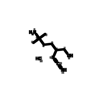 CC(C)(N)CCC(CO)N=C=N.Cl